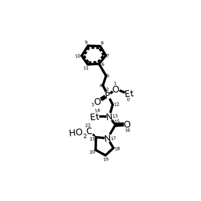 CCOP(=O)(CCc1ccccc1)CN(CC)C(=O)N1CCC[C@H]1C(=O)O